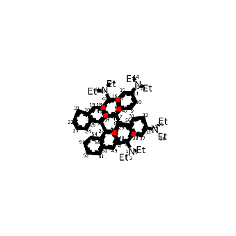 CCN(CC)c1ccc(P(c2ccc(N(CC)CC)cc2)c2ccc3ccccc3c2-c2c(P(c3ccc(N(CC)CC)cc3)c3ccc(N(CC)CC)cc3)ccc3ccccc23)cc1